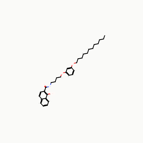 CCCCCCCCCCCCOc1cccc(OCCCCNC(=O)c2ccc3ccccc3c2O)c1